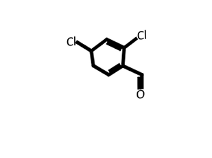 O=CC1=CCC(Cl)C=C1Cl